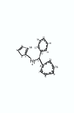 C1=CC[C]([Hf][CH](c2ccccc2)c2ccccc2)=C1